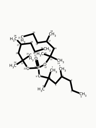 CCCC(C)CC(C)(C)OP(=O)(OC(C)(C)CC(C)CCC)OC(C)(C)CC(C)CCC